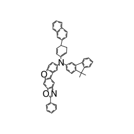 CC1(C)c2ccccc2-c2cc(N(C3=CCC(c4ccc5ccccc5c4)C=C3)c3ccc4oc5cc6oc(-c7ccccc7)nc6cc5c4c3)ccc21